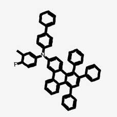 CC1C=C(N(c2ccc(C3=CC=CCC3)cc2)c2ccc3c(c2)c2ccccc2c2c(-c4ccccc4)cc(C4=CCCC=C4)c(-c4ccccc4)c32)C=CC1F